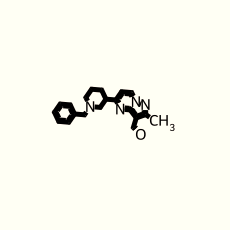 Cc1nn2ccc(C3CCCN(Cc4ccccc4)C3)nc2c1C=O